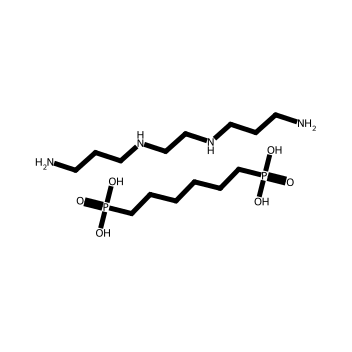 NCCCNCCNCCCN.O=P(O)(O)CCCCCCP(=O)(O)O